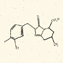 CC1Cc2nn(Cc3ccc(F)c(Cl)c3)c(=O)n2C(C(=O)O)C1